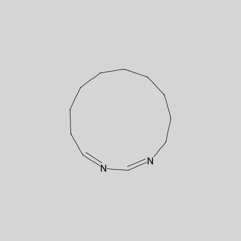 C1=NC=NCCCCCCCCC1